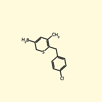 BC1=CC(C)=C(Cc2ccc(Cl)cc2)SC1